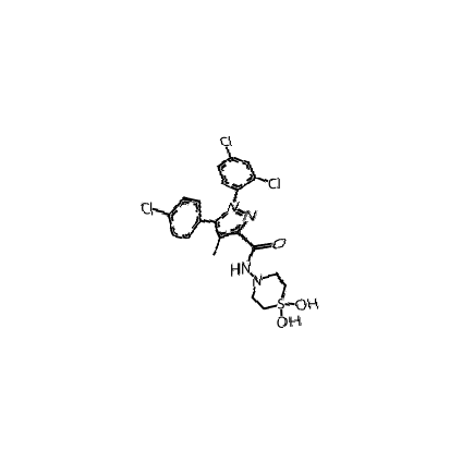 Cc1c(C(=O)NN2CCS(O)(O)CC2)nn(-c2ccc(Cl)cc2Cl)c1-c1ccc(Cl)cc1